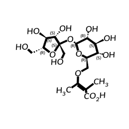 CC(OC[C@H]1O[C@H](O[C@]2(CO)O[C@H](CO)[C@@H](O)[C@@H]2O)[C@H](O)[C@@H](O)[C@@H]1O)=C(C)C(=O)O